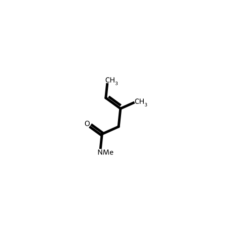 [CH2]NC(=O)CC(C)=CC